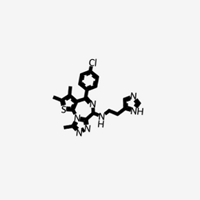 Cc1sc2c(c1C)C(c1ccc(Cl)cc1)=NC(NCCc1cnc[nH]1)c1nnc(C)n1-2